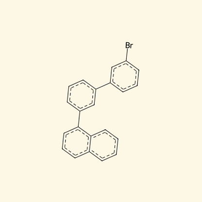 Brc1cccc(-c2cccc(-c3cccc4ccccc34)c2)c1